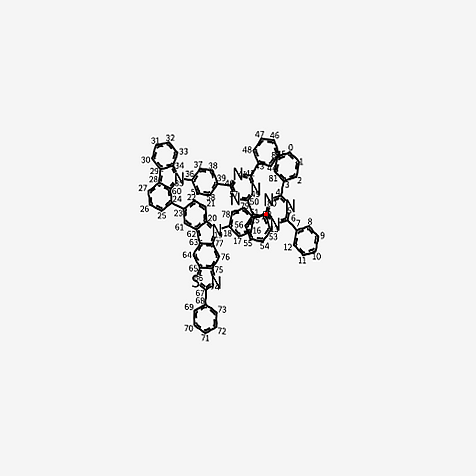 c1ccc(-c2nc(-c3ccccc3)nc(-c3ccc(-n4c5ccc(-c6cccc7c8ccccc8n(-c8ccc(-c9nc(-c%10ccccc%10)nc(-c%10ccccc%10)n9)cc8)c67)cc5c5cc6sc(-c7ccccc7)nc6cc54)cc3)n2)cc1